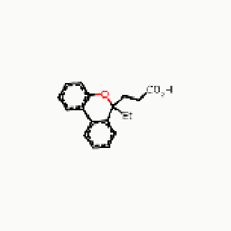 CCC1(CCC(=O)O)Oc2ccccc2-c2ccccc21